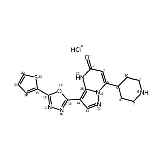 Cl.O=c1cc(C2CCNCC2)n2ncc(-c3nnc(-c4cccs4)o3)c2[nH]1